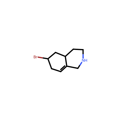 BrC1CC=C2CNCCC2C1